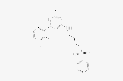 Cc1cccc(-c2cc(NCCCNS(=O)(=O)c3ccccc3)nc(N)n2)c1C